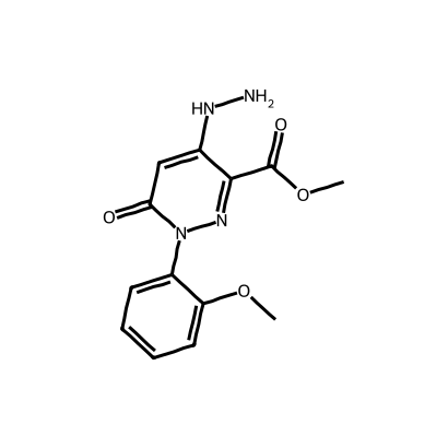 COC(=O)c1nn(-c2ccccc2OC)c(=O)cc1NN